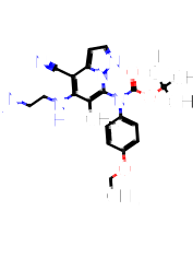 CCOc1ccc(N(C(=O)OC(C)(C)C)c2c(C)c(NCCN)c(C#N)c3ccnn23)cc1